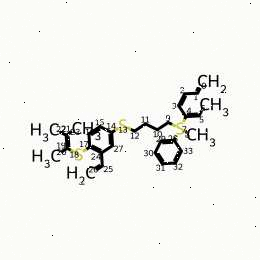 C=C/C=C\C(=C/C)S(C)(CCCCSc1ccc(SC(C)=C(C)C)c(C=C)c1)c1ccccc1